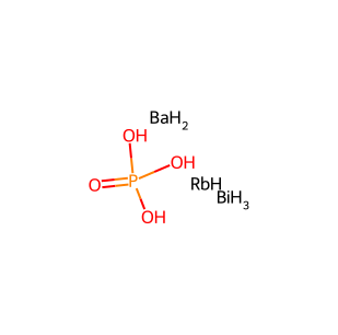 O=P(O)(O)O.[BaH2].[BiH3].[RbH]